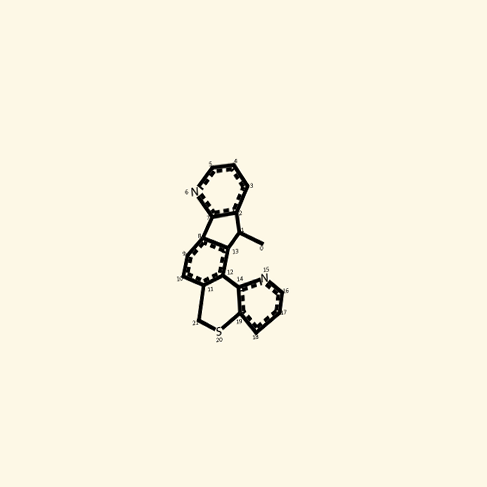 CC1c2cccnc2-c2ccc3c(c21)-c1ncccc1SC3